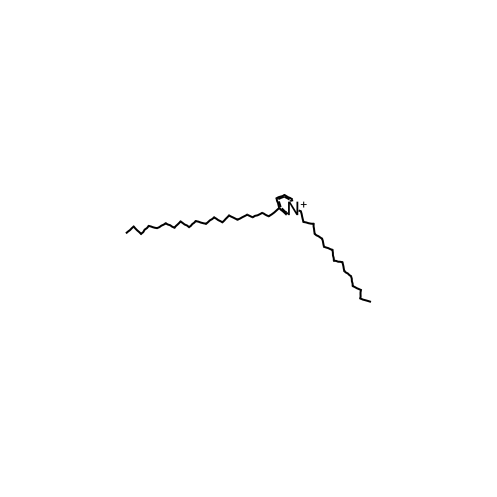 CCCCCCCCCCCCCCCCCCCc1ccc[n+](CCCCCCCCCCCCCCC)c1